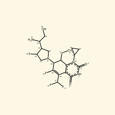 COC1c2c(c(=O)[nH]c(=O)n2C2CC2)C(C(F)F)=C(F)C1N1CC(F)C(C(N)CO)C1